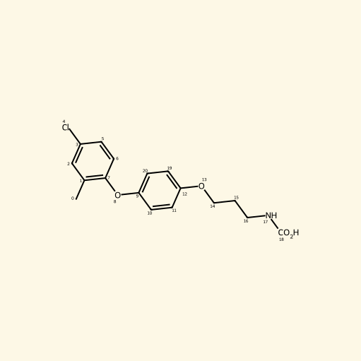 Cc1cc(Cl)ccc1Oc1ccc(OCCCNC(=O)O)cc1